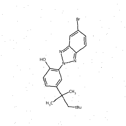 CC(C)(C)CC(C)(C)c1ccc(O)c(-n2nc3ccc(Br)cc3n2)c1